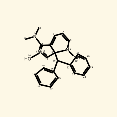 CN(C)C(=O)C1=CC=CN(O)C1(C=NO)C(c1ccccc1)c1ccccc1